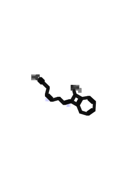 C#CC/C=C\C/C=C1/C2=C(C=CC=CC2)C1N